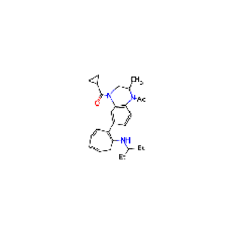 CCC(CC)NC1=C(c2ccc3c(c2)N(C(=O)C2CC2)CC(C)N3C(C)=O)C=CC=CC1